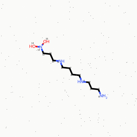 NCCCNCCCCNCCCN(O)O